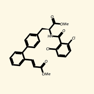 COC(=O)C=Cc1ccccc1-c1ccc(C[C@H](NC(=O)c2c(Cl)cccc2Cl)C(=O)OC)cc1